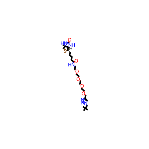 CC(C)(C)Cn1cc(COCCOCCOCCOCCNC(=O)CCCC[C@@H]2SC[C@]3(C)NC(=O)N[C@H]23)nn1